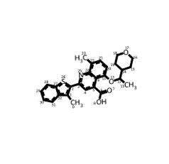 Cc1c(-c2cc(C(=O)O)c3c(OC(C)C4CCOCC4)ccc(C)c3n2)sc2ccccc12